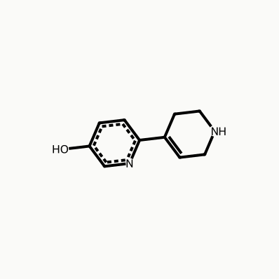 Oc1ccc(C2=CCNCC2)nc1